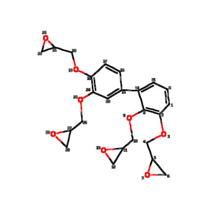 c1cc(OCC2CO2)c(OCC2CO2)c(-c2ccc(OCC3CO3)c(OCC3CO3)c2)c1